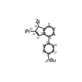 CCCCc1ccc(-c2cccc3c2C=C(C(C)C)[CH]3[Zr])cc1